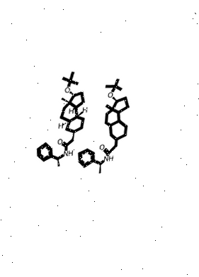 C[C@H](NC(=O)CC1CCC2C(CCC3(C)C2CC[C@@H]3OC(C)(C)C)C1)c1ccccc1.C[C@H](NC(=O)C[C@@H]1CC[C@@H]2[C@H](CC[C@]3(C)[C@@H](OC(C)(C)C)CC[C@@H]23)C1)c1ccccc1